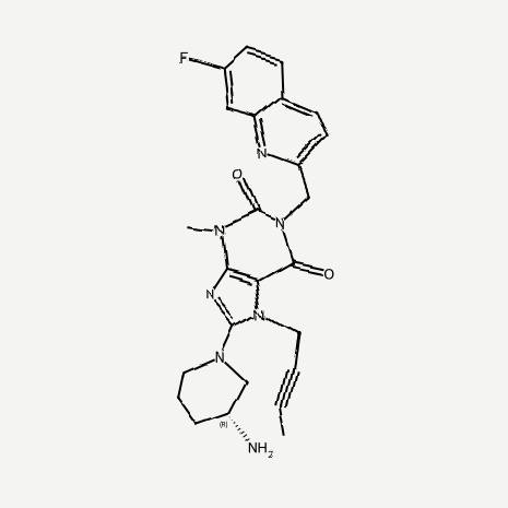 CC#CCn1c(N2CCC[C@@H](N)C2)nc2c1c(=O)n(Cc1ccc3ccc(F)cc3n1)c(=O)n2C